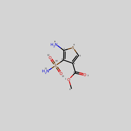 COC(=O)c1csc(N)c1S(N)(=O)=O